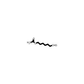 NC(=O)OCCCCCCC=O